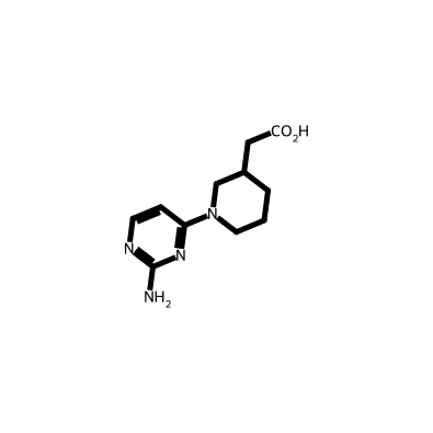 Nc1nccc(N2CCCC(CC(=O)O)C2)n1